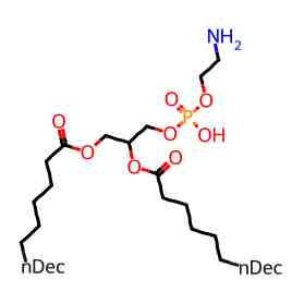 CCCCCCCCCCCCCCCC(=O)OCC(COP(=O)(O)OCCN)OC(=O)CCCCCCCCCCCCCCC